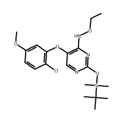 CCONc1nc(O[Si](C)(C)C(C)(C)C)ncc1Oc1cc(OC)ccc1Cl